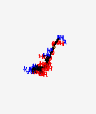 CC(C)(COP(=O)(O)OP(=O)(O)OC[C@H]1O[C@@H](n2cnc3c(N)ncnc32)[C@H](O)[C@@H]1OP(=O)(O)O)[C@@H](O)C(=O)NCCC(=O)NCCSC(=O)CCC(O)CCN